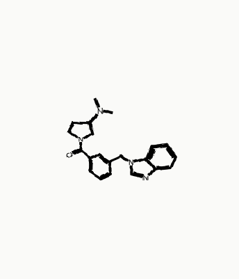 CN(C)C1CCN(C(=O)c2cccc(Cn3cnc4ccccc43)c2)C1